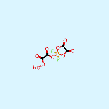 O=C(OO)C(=O)OP1(F)(F)OC(=O)C(=O)O1